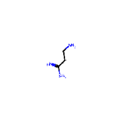 N=C(N)[CH]CN